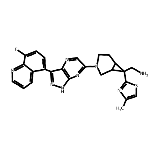 Cc1csc(C2(CN)C3CCN(c4cnc5c(-c6ccc(F)c7ncccc67)n[nH]c5n4)CC32)n1